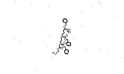 CCOC(=O)CN(CCCN(CCCC(NC=O)OCc1ccccc1)C(=O)OCc1ccccc1)C(=O)OCc1ccccc1